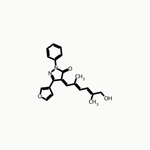 CC(/C=C1\C(=O)N(c2ccccc2)N=C1c1ccoc1)=C\C=C(/C)CO